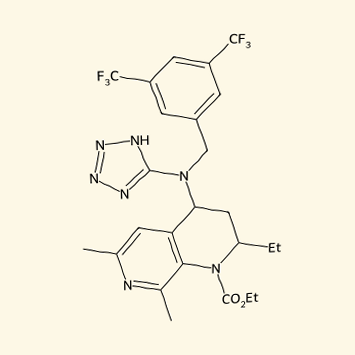 CCOC(=O)N1c2c(cc(C)nc2C)C(N(Cc2cc(C(F)(F)F)cc(C(F)(F)F)c2)c2nnn[nH]2)CC1CC